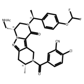 CC(=O)NC[C@@H]1CN([C@@H](C)c2ccc(OC(F)F)cc2)C(=O)c2c3c(nn21)C[C@@H](C)N(C(=O)c1ccc(Cl)c(C#N)c1)C3